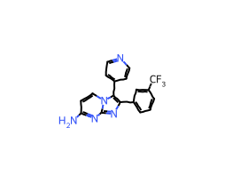 Nc1ccn2c(-c3ccncc3)c(-c3cccc(C(F)(F)F)c3)nc2n1